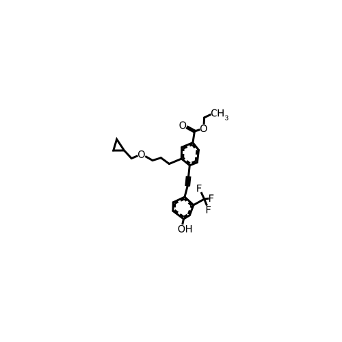 CCOC(=O)c1ccc(C#Cc2ccc(O)cc2C(F)(F)F)c(CCCOCC2CC2)c1